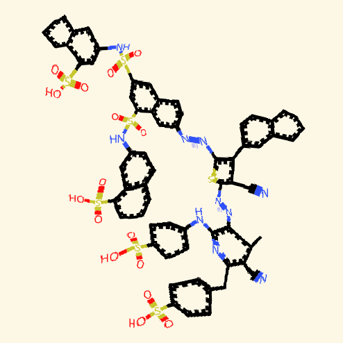 Cc1c(C#N)c(Cc2ccc(S(=O)(=O)O)cc2)nc(Nc2ccc(S(=O)(=O)O)cc2)c1/N=N/c1sc(/N=N/c2ccc3cc(S(=O)(=O)Nc4cc(S(=O)(=O)O)c5ccccc5c4)cc(S(=O)(=O)Nc4ccc5cccc(S(=O)(=O)O)c5c4)c3c2)c(-c2ccc3ccccc3c2)c1C#N